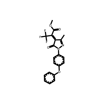 COC(=O)C(=C1C(=O)N(c2ccc(Oc3ccccc3)cc2)N=C1C)C(F)(F)F